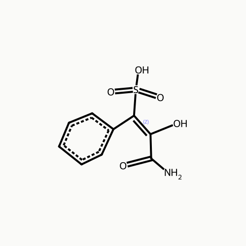 NC(=O)/C(O)=C(\c1ccccc1)S(=O)(=O)O